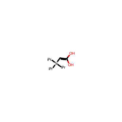 CC(C)[Si](C=C(O)O)(C(C)C)C(C)C